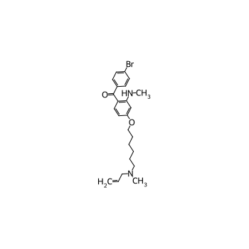 C=CCN(C)CCCCCCOc1ccc(C(=O)c2ccc(Br)cc2)c(NC)c1